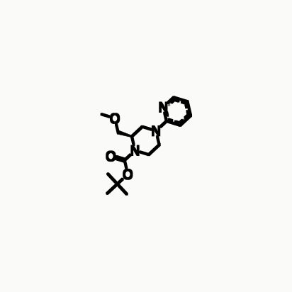 COC[C@H]1CN(c2ccccn2)CCN1C(=O)OC(C)(C)C